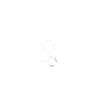 CCN1CCCN2c3c(Cl)cccc3CC2C1